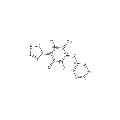 Cn1c(=O)c(=C2C=COC2)n(C)c(=O)c1=Cc1ccccc1